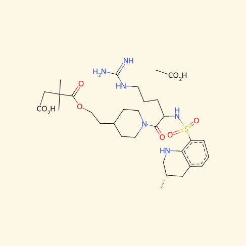 CC(=O)O.C[C@@H]1CNc2c(cccc2S(=O)(=O)NC(CCCNC(=N)N)C(=O)N2CCC(CCOC(=O)C(C)(C)CC(=O)O)CC2)C1